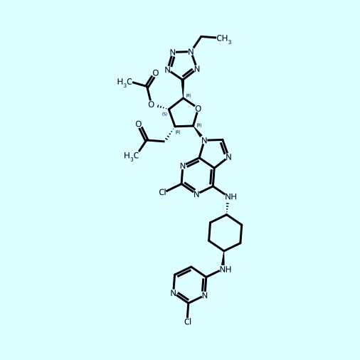 CCn1nnc([C@H]2O[C@@H](n3cnc4c(N[C@H]5CC[C@H](Nc6ccnc(Cl)n6)CC5)nc(Cl)nc43)[C@H](CC(C)=O)[C@@H]2OC(C)=O)n1